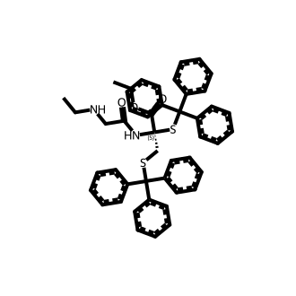 CCNCC(=O)N[C@](CSC(c1ccccc1)(c1ccccc1)c1ccccc1)(SC(c1ccccc1)(c1ccccc1)c1ccccc1)C(=O)OCC